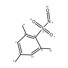 Cc1cc(C)c(S(=O)(=O)N=O)c(C)c1